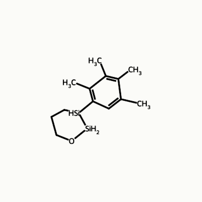 Cc1cc([SiH]2CCCO[SiH2]2)c(C)c(C)c1C